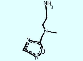 CN(CCN)c1ncno1